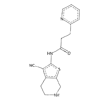 N#Cc1c(NC(=O)CCc2ccccn2)sc2c1CCNC2